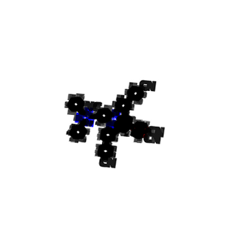 N#Cc1ccc(-c2ccc3c(c2)c2cc(-c4ccc(C#N)cc4)ccc2n3-c2cc(C#N)c(-c3nc(-c4ccccc4)nc(-c4ccccc4)n3)cc2-n2c3ccc(-c4ccc(C#N)cc4)cc3c3cc(-c4ccc(C#N)cc4)ccc32)cc1